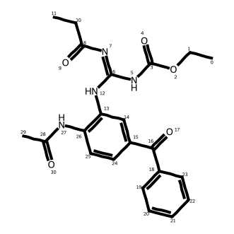 CCOC(=O)N/C(=N/C(=O)CC)Nc1cc(C(=O)c2ccccc2)ccc1NC(C)=O